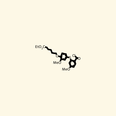 CCOC(=O)CCCCCOc1ccc(Sc2cc(OC)ccc2C(=O)Cl)cc1OC